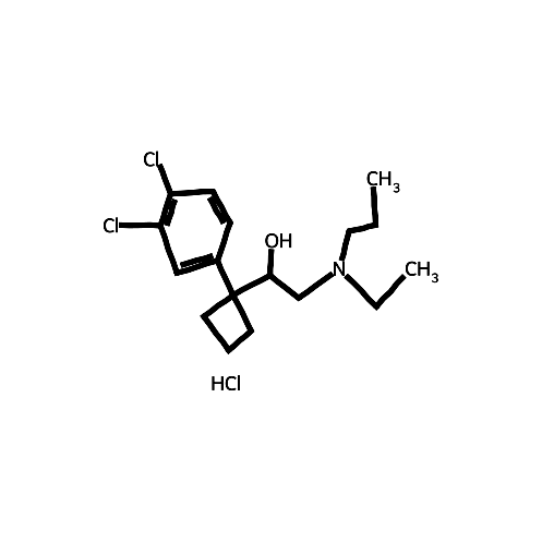 CCCN(CC)CC(O)C1(c2ccc(Cl)c(Cl)c2)CCC1.Cl